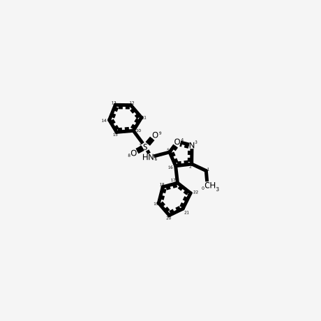 CCc1noc(NS(=O)(=O)c2ccccc2)c1-c1ccccc1